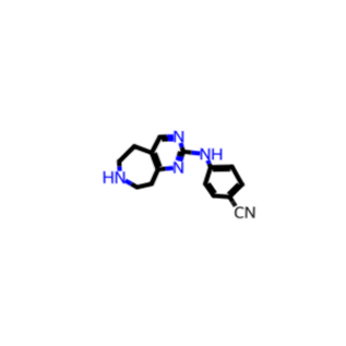 N#Cc1ccc(Nc2ncc3c(n2)CCNCC3)cc1